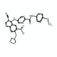 COc1ccc(NC(=O)c2ncc(Nc3c(C#N)cnc4cc(OC5CCOC5)c([N+](=O)[O-])cc34)cn2)cc1